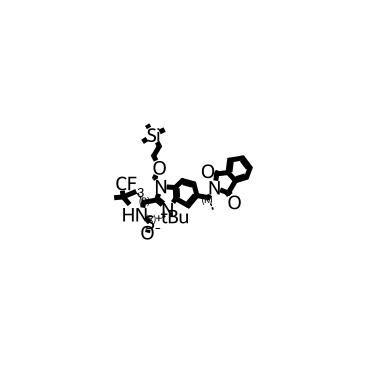 C[C@H](c1ccc2c(c1)nc([C@@H](CC(C)(C)C(F)(F)F)N[S@@+]([O-])C(C)(C)C)n2COCC[Si](C)(C)C)N1C(=O)c2ccccc2C1=O